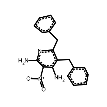 Nc1nc(Cc2ccccc2)c(Cc2ccccc2)c(N)c1[N+](=O)[O-]